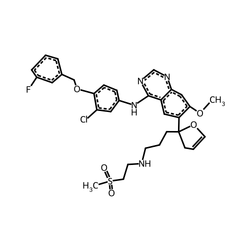 COc1cc2ncnc(Nc3ccc(OCc4cccc(F)c4)c(Cl)c3)c2cc1C1(CCCNCCS(C)(=O)=O)CC=CO1